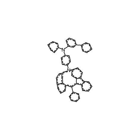 c1ccc(-c2cccc(N(c3ccccc3)c3ccc(-n4c5ccc6c(c5)-c(c(-c5ccccc5)c5cccc7ccc4cc75)c4ccccc64)cc3)c2)cc1